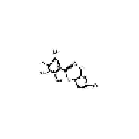 CC(C)(C)c1ccc(OC(=O)c2cc(C(C)(C)C)c(O)c(C(C)(C)C)c2O)c(C(C)(C)C)c1